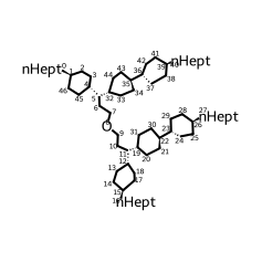 CCCCCCC[C@H]1CC[C@H](C(CCOCCC([C@H]2CC[C@H](CCCCCCC)CC2)[C@H]2CC[C@H]([C@H]3CC[C@H](CCCCCCC)CC3)CC2)[C@H]2CC[C@H]([C@H]3CC[C@H](CCCCCCC)CC3)CC2)CC1